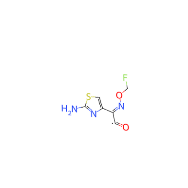 Nc1nc(/C([C]=O)=N\OCF)cs1